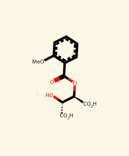 COc1ccccc1C(=O)O[C@@H](C(=O)O)[C@@H](O)C(=O)O